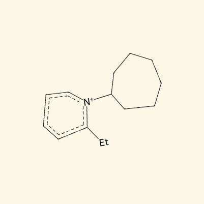 CCc1cccc[n+]1C1CCCCCC1